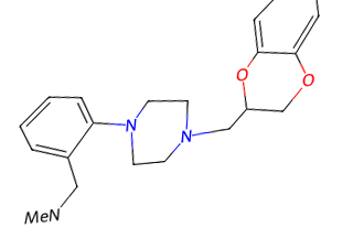 CNCc1ccccc1N1CCN(CC2COc3ccccc3O2)CC1